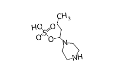 CCCC(OS(=O)(=O)O)N1CCNCC1